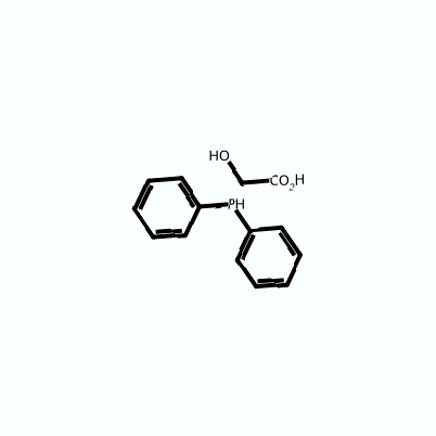 O=C(O)CO.c1ccc(Pc2ccccc2)cc1